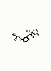 CC(C)(C)C(=O)Cc1cccc(OCC(=O)O)c1